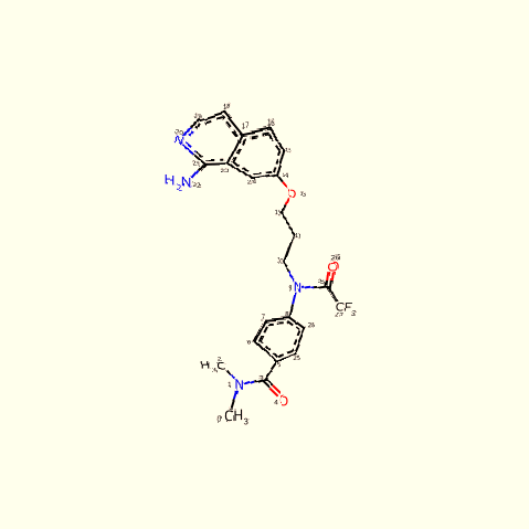 CN(C)C(=O)c1ccc(N(CCCOc2ccc3ccnc(N)c3c2)C(=O)C(F)(F)F)cc1